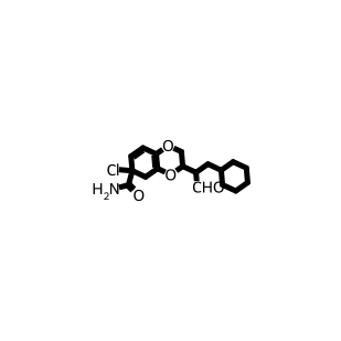 NC(=O)C1(Cl)C=CC2=C(C1)OC(C(C=O)CC1CCCCC1)CO2